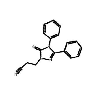 N#CCCn1nc(-c2ccccc2)n(-c2ccccc2)c1=S